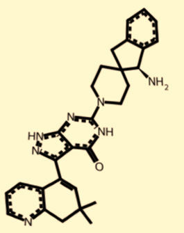 CC1(C)C=C(c2n[nH]c3nc(N4CCC5(CC4)Cc4ccccc4[C@H]5N)[nH]c(=O)c23)c2cccnc2C1